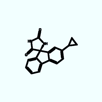 O=C1NC(=O)[C@@]2(N1)c1ccccc1-c1ccc(C3CC3)cc12